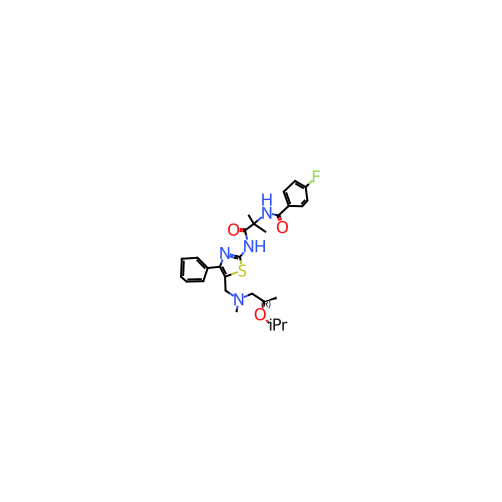 CC(C)O[C@H](C)CN(C)Cc1sc(NC(=O)C(C)(C)NC(=O)c2ccc(F)cc2)nc1-c1ccccc1